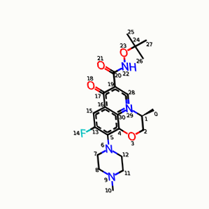 C[C@H]1COc2c(N3CCN(C)CC3)c(F)cc3c(=O)c(C(=O)NOC(C)(C)C)cn1c23